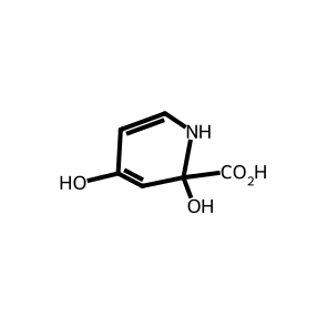 O=C(O)C1(O)C=C(O)C=CN1